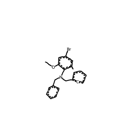 COc1cc(Br)cc(C)c1N(Cc1ccccc1)Cc1ccccc1